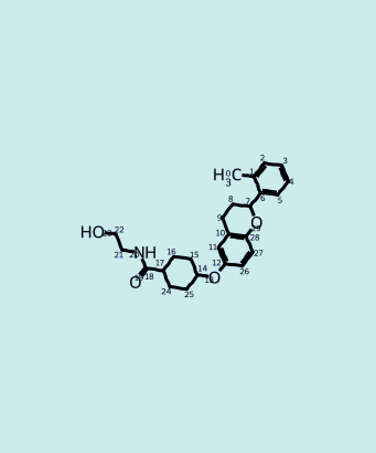 Cc1ccccc1C1CCc2cc(OC3CCC(C(=O)NCCO)CC3)ccc2O1